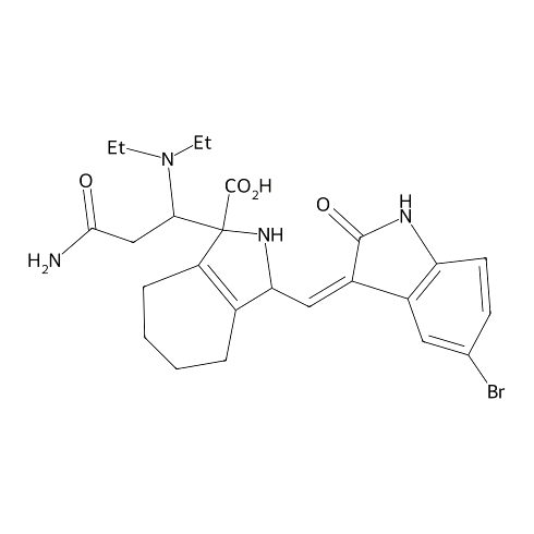 CCN(CC)C(CC(N)=O)C1(C(=O)O)NC(C=C2C(=O)Nc3ccc(Br)cc32)C2=C1CCCC2